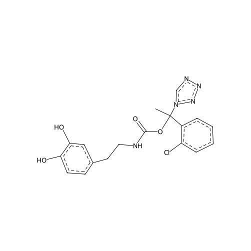 CC(OC(=O)NCCc1ccc(O)c(O)c1)(c1ccccc1Cl)n1cnnn1